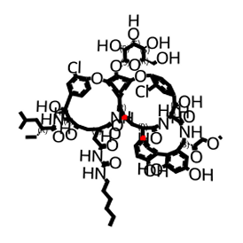 CCCCCCNC(=O)NC(=O)C[C@@H]1CC(=O)[C@H](NC(=O)[C@H](CC)CC(C)C)[C@H](O)c2ccc(c(Cl)c2)Oc2cc3cc(c2O[C@@H]2O[C@H](CO)[C@@H](O)[C@H](O)[C@H]2O)Oc2ccc(cc2Cl)[C@@H](O)[C@@H]2NC(=O)[C@H](CC(=O)[C@@H]3NC1=O)c1ccc(O)c(c1)-c1c(O)cc(O)cc1[C@@H](C(=O)COC)NC2=O